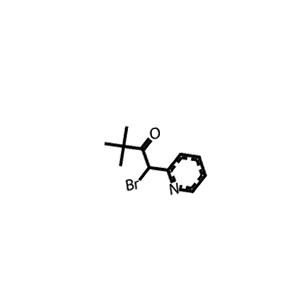 CC(C)(C)C(=O)C(Br)c1ccccn1